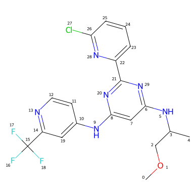 COCC(C)Nc1cc(Nc2ccnc(C(F)(F)F)c2)nc(-c2cccc(Cl)n2)n1